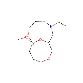 CCN1CCCO[Si]2(OC)CCCOCC(C1)O2